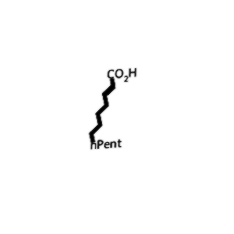 CCCCCCCCCC=CC(=O)O